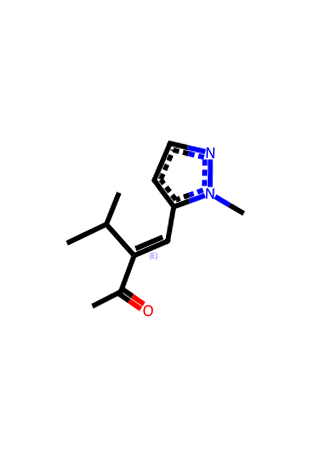 CC(=O)/C(=C/c1ccnn1C)C(C)C